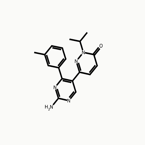 Cc1cccc(-c2nc(N)ncc2-c2ccc(=O)n(C(C)C)n2)c1